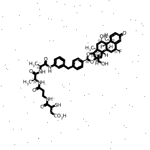 C[C@H](NC(=O)CCNC(=O)C(S)CC(=O)O)C(=O)N[C@@H](C)C(=O)Nc1cccc(Cc2ccc([C@@H]3O[C@@H]4C[C@H]5[C@@H]6C[C@H](F)C7=CC(=O)C=C[C@]7(C)[C@@]6(F)[C@@H](O)C[C@]5(C)[C@]4(C(=O)CO)O3)cc2)c1